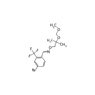 COCOC(C)(C)CO/N=C/c1ccc(Br)cc1C(F)(F)F